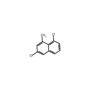 Cc1cc(Cl)cc2cccc(Cl)c12